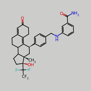 C[C@]12C[C@H](c3ccc(CNc4cccc(C(N)=O)c4)cc3)C3=C4CCC(=O)C=C4CCC3C1CC[C@@]2(O)C(F)(F)C(F)(F)F